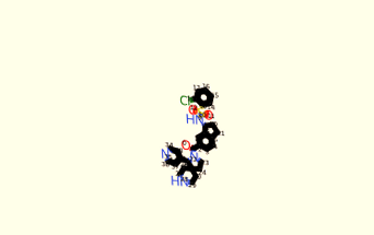 O=C(c1ccc2c(c1)C(NS(=O)(=O)c1ccccc1Cl)CC2)N1CCC2(CCNCC2)C1c1ccncc1